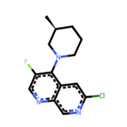 C[C@H]1CCCN(c2c(F)cnc3cnc(Cl)cc23)C1